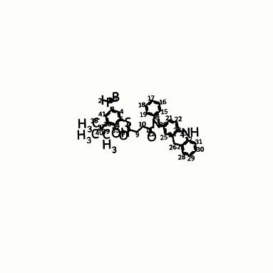 B#P(I)c1cc(SC(=O)CCC(=O)N(c2ccccc2)c2ccc3c(c2)Cc2ccccc2N3)c(O)c(C(C)(C)C)c1